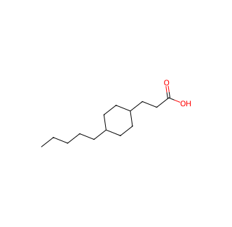 CCCCCC1CCC(CCC(=O)O)CC1